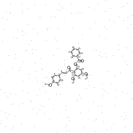 COc1ccc(C=CC(=O)c2c(OC)cc(OC)cc2OC(=O)c2ccccc2)cc1